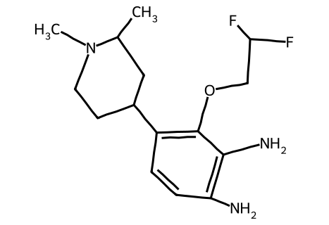 CC1CC(c2ccc(N)c(N)c2OCC(F)F)CCN1C